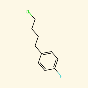 Fc1ccc(CCCCCl)cc1